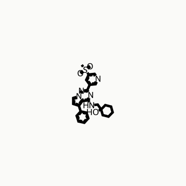 CS(=O)(=O)c1cncc(-c2nc(NCC3(O)CCCCC3)c3c(-c4ccccc4)ccn3n2)c1